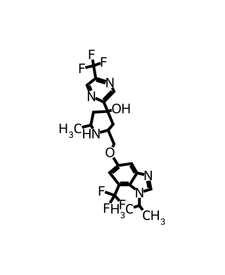 CC1CC(O)(c2cnc(C(F)(F)F)cn2)CC(COc2cc(C(F)(F)F)c3c(c2)ncn3C(C)C)N1